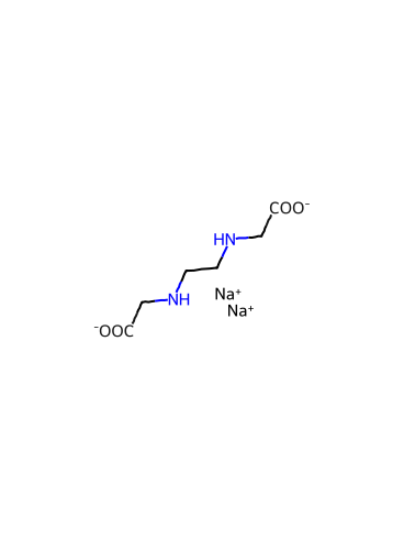 O=C([O-])CNCCNCC(=O)[O-].[Na+].[Na+]